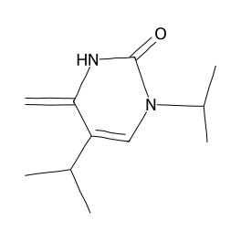 C=C1NC(=O)N(C(C)C)C=C1C(C)C